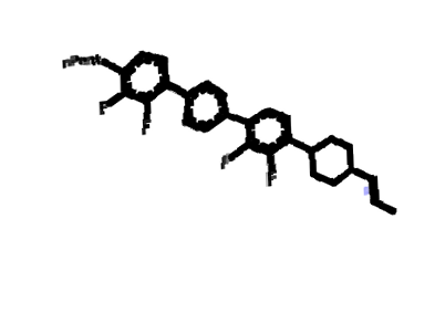 C/C=C/C1CCC(c2ccc(-c3ccc(-c4ccc(CCCCC)c(F)c4F)cc3)c(F)c2F)CC1